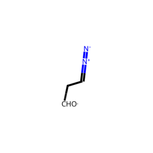 [N-]=[N+]=CC[C]=O